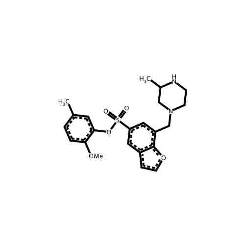 COc1ccc(C)cc1OS(=O)(=O)c1cc(CN2CCNC(C)C2)c2occc2c1